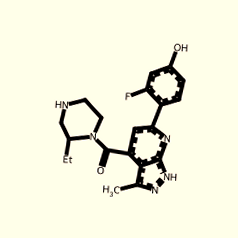 CCC1CNCCN1C(=O)c1cc(-c2ccc(O)cc2F)nc2[nH]nc(C)c12